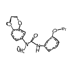 CC(C)Oc1cccc(NC(=O)N(C=O)c2ccc3c(c2)OCCO3)c1